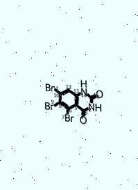 O=c1[nH]c(=O)c2c(Br)c(Br)c(Br)cc2[nH]1